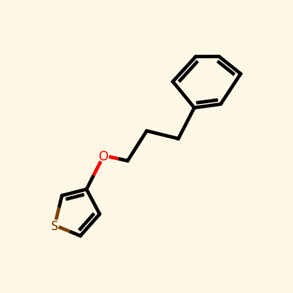 c1ccc(CCCOc2ccsc2)cc1